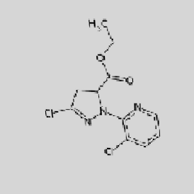 CCOC(=O)C1CC(Cl)=NN1c1ncccc1Cl